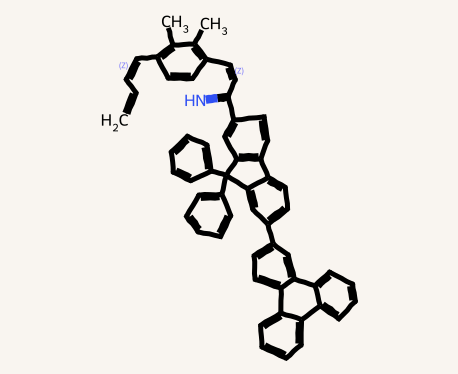 C=C/C=C\c1ccc(/C=C\C(=N)c2ccc3c(c2)C(c2ccccc2)(c2ccccc2)c2cc(-c4ccc5c6ccccc6c6ccccc6c5c4)ccc2-3)c(C)c1C